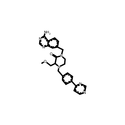 COCC1C(=O)N(Cc2ccc3c(N)ncnc3c2)CCN1Cc1ccc(-c2ccncn2)cc1